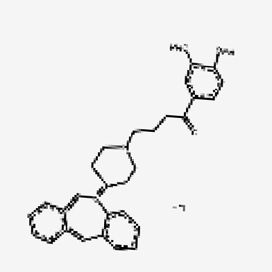 COc1ccc(C(=O)CCCN2CCC(=S3C=c4ccccc4=Cc4ccccc43)CC2)cc1OC.Cl